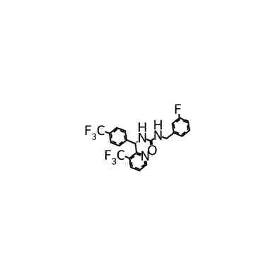 O=C(NCc1cccc(F)c1)N[C@@H](c1ccc(C(F)(F)F)cc1)c1ncccc1C(F)(F)F